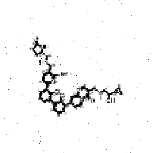 COc1nc(-c2cccc(-c3cccc(-c4ccn5c(=O)c(CNC[C@H](O)C6CC6)cnc5c4)c3Cl)c2Cl)ccc1CNC[C@H]1CCC(=O)N1